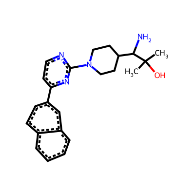 CC(C)(O)C(N)C1CCN(c2nccc(-c3ccc4ccccc4c3)n2)CC1